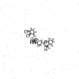 C[C@@H](NC(=O)c1ccc(NS(=O)(=O)CCc2cccc(Cl)c2Cl)cc1)c1ccccc1